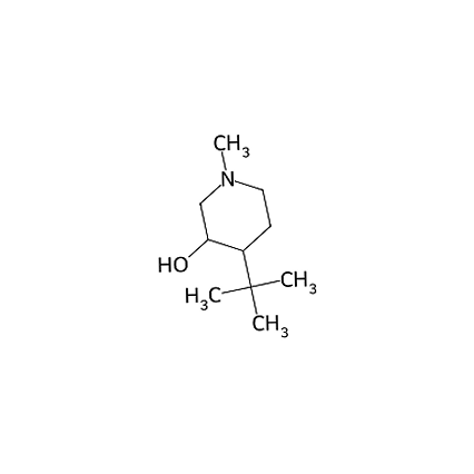 CN1CCC(C(C)(C)C)C(O)C1